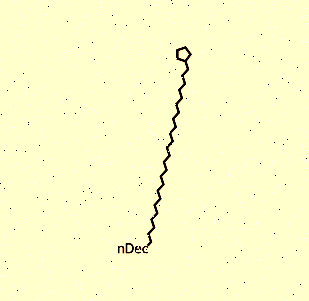 CCCCCCCCCCCCCCCCCCCCCCCCCCCCCCCCCCCC1CCCC1